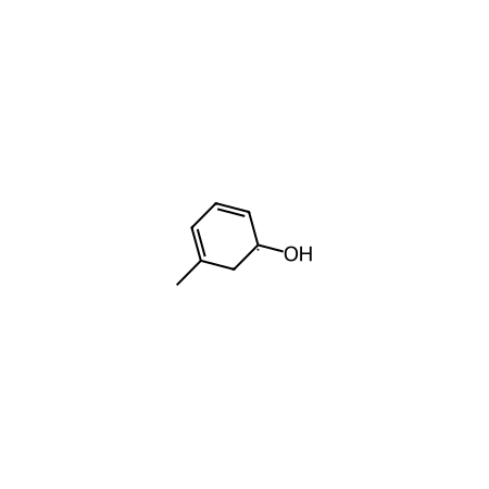 CC1=CC=C[C](O)C1